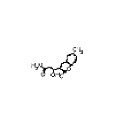 Cc1ccc2oc(=O)c(C(O)CC(N)=O)cc2c1